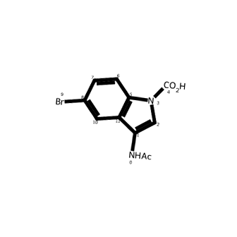 CC(=O)Nc1cn(C(=O)O)c2ccc(Br)cc12